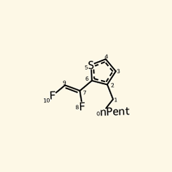 CCCCCCc1ccsc1C(F)=CF